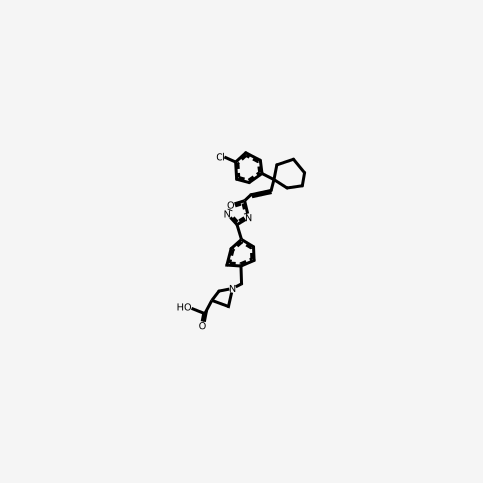 O=C(O)C1CN(Cc2ccc(-c3noc(C=CC4(c5ccc(Cl)cc5)CCCCC4)n3)cc2)C1